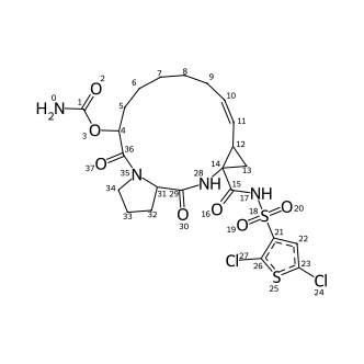 NC(=O)OC1CCCCCC=CC2CC2(C(=O)NS(=O)(=O)c2cc(Cl)sc2Cl)NC(=O)C2CCCN2C1=O